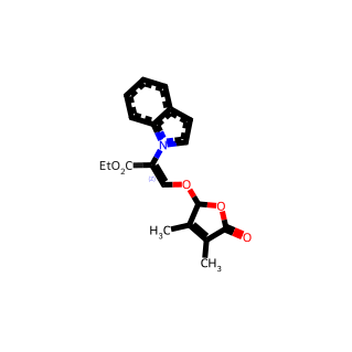 CCOC(=O)/C(=C/OC1OC(=O)C(C)=C1C)n1ccc2ccccc21